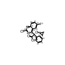 O=C(O)[C@](OC1CC1)(c1ccccc1)c1nc(Cl)nc2ccc(I)cc12